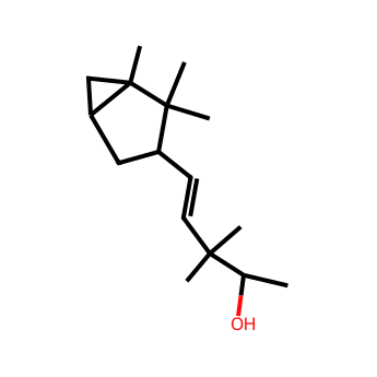 CC(O)C(C)(C)C=CC1CC2CC2(C)C1(C)C